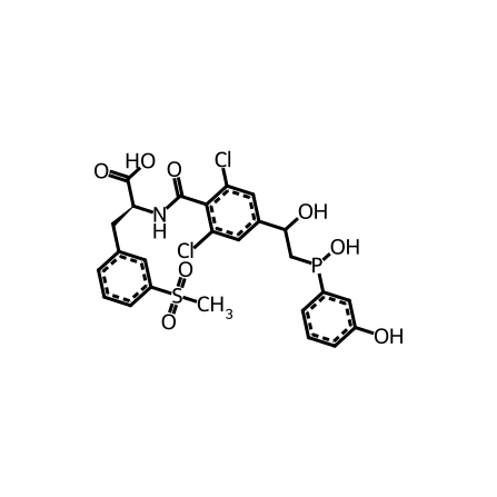 CS(=O)(=O)c1cccc(C[C@H](NC(=O)c2c(Cl)cc(C(O)CP(O)c3cccc(O)c3)cc2Cl)C(=O)O)c1